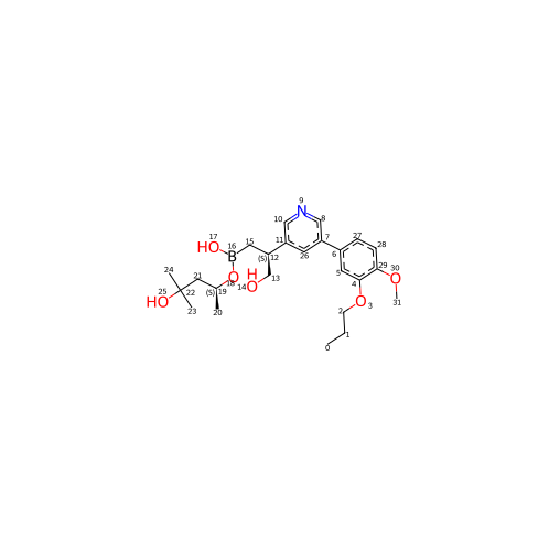 CCCOc1cc(-c2cncc([C@@H](CO)CB(O)O[C@@H](C)CC(C)(C)O)c2)ccc1OC